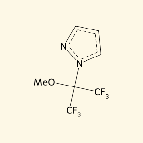 COC(n1cccn1)(C(F)(F)F)C(F)(F)F